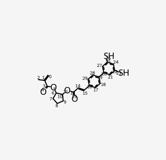 C=C(C)C(=O)OC1CCCC1OC(=O)/C=C/c1ccc(-c2cc(S)cc(S)c2)cc1